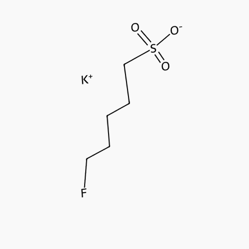 O=S(=O)([O-])CCCCCF.[K+]